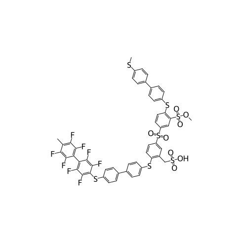 COS(=O)(=O)c1cc(S(=O)(=O)c2ccc(Sc3ccc(-c4ccc(Sc5c(F)c(F)c(-c6c(F)c(F)c(C)c(F)c6F)c(F)c5F)cc4)cc3)c(CS(=O)(=O)O)c2)ccc1Sc1ccc(-c2ccc(SC)cc2)cc1